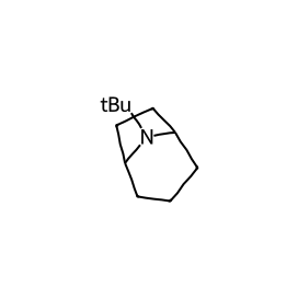 CC(C)(C)N1C2CCCC1CC2